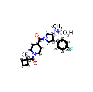 CN(C(=O)O)[C@@H]1CN(C(=O)C2CCN(C(=O)C3(C(F)(F)F)CCC3)CC2)C[C@H]1c1ccc(F)cc1